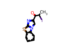 CC(I)C(=O)c1cn2c(n1)sc1ccccc12